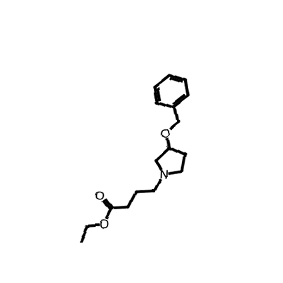 CCOC(=O)CCCN1CCC(OCc2ccccc2)C1